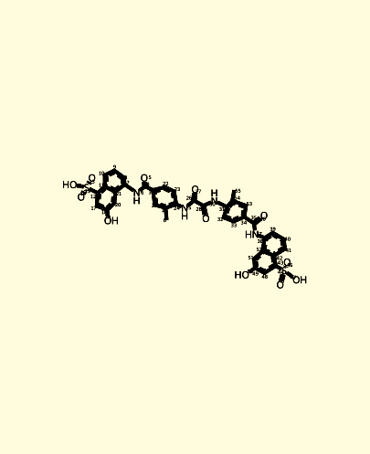 Cc1cc(C(=O)Nc2cccc3c(S(=O)(=O)O)cc(O)cc23)ccc1NC(=O)C(=O)Nc1ccc(C(=O)Nc2cccc3c(S(=O)(=O)O)cc(O)cc23)cc1C